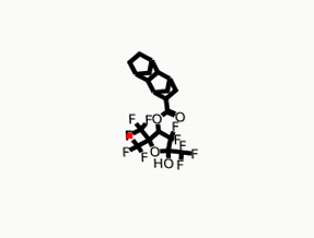 O=C(OC1C(F)(F)C(O)(C(F)(F)F)OC1(C(F)(F)F)C(F)(F)F)C1CC2CC1C1C3CCC(C3)C21